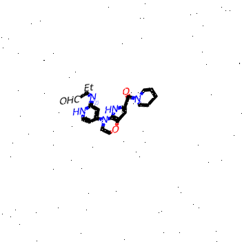 CCC(C=O)/N=c1/cc(N2CCOc3cc(C(=O)N4CCCCC4)[nH]c32)cc[nH]1